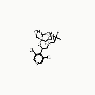 CC[Si](CC)(CC)OC(CNCC(F)(F)F)c1c(Cl)cncc1Cl